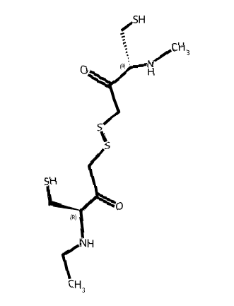 CCN[C@@H](CS)C(=O)CSSCC(=O)[C@H](CS)NC